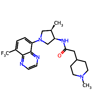 C[C@@H]1CN(c2ccc(C(F)(F)F)c3nccnc23)C[C@@H]1NC(=O)CC1CCN(C)CC1